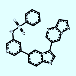 O=S(=O)(Nc1cncc(-c2ccc3ncc(-c4cnc5ccnn5c4)n3c2)c1)c1ccccc1